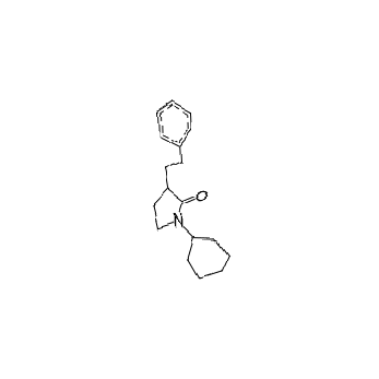 O=C1C(CCc2ccccc2)CCN1C1CCCCC1